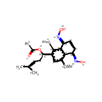 COc1cc([C@@H](CC=C(C)C)OC(=O)C(C)C)c(OC)c2c1C(=NO)C=CC2=NO